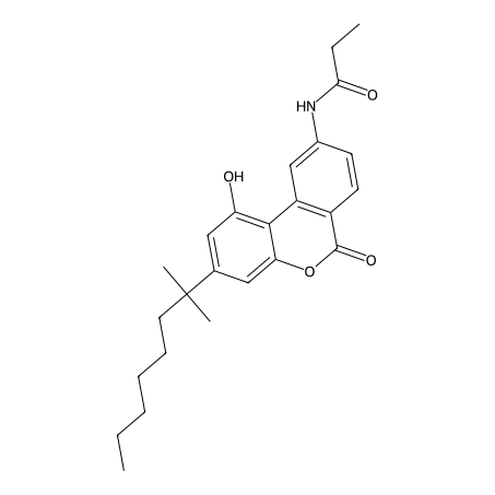 CCCCCCC(C)(C)c1cc(O)c2c(c1)oc(=O)c1ccc(NC(=O)CC)cc12